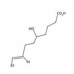 [2H]C(=CCC)CCC(O)CCCC(=O)O